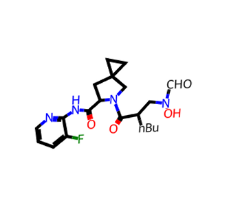 CCCCC(CN(O)C=O)C(=O)N1CC2(CC2)CC1C(=O)Nc1ncccc1F